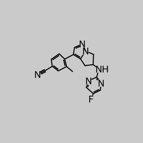 Cc1cc(C#N)ccc1-c1cnn2c1CC(Nc1ncc(F)cn1)C2